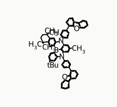 Cc1cc2c3c(c1)N(c1ccc(-c4cccc5c4oc4ccccc45)cc1)c1cc4c(cc1B3c1ccc(C(C)(C)C)cc1N2c1ccc(-c2cccc3c2oc2ccccc23)cc1)C(C)(C)CCC4(C)C